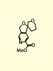 COC(=O)c1cc2c(cn1)COC21CCCOC1